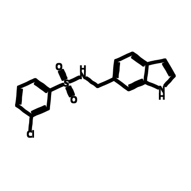 O=S(=O)(NCc1ccc2cc[nH]c2c1)c1cccc(Cl)c1